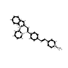 C[n+]1ccc(/C=C/c2ccc(/C=C/c3cc4ccccc4n3-c3ccccn3)cc2)cc1